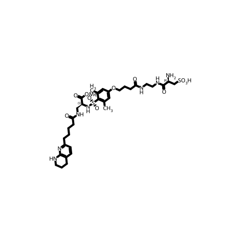 COC(=O)[C@H](CNC(=O)CCCCc1ccc2c(n1)NCCC2)NS(=O)(=O)c1c(C)cc(OCCCC(=O)NCCNC(=O)[C@@H](N)CS(=O)(=O)O)cc1C